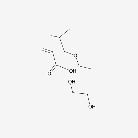 C=CC(=O)O.CCOCC(C)C.OCCO